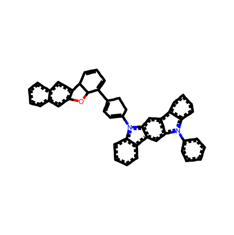 C1=CC2c3cc4ccccc4cc3OC2C(C2=CC=C(n3c4ccccc4c4cc5c(cc43)c3ccccc3n5-c3ccccc3)CC2)=C1